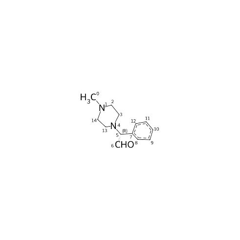 CN1CCN([C@@H](C=O)c2ccccc2)CC1